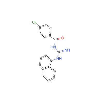 N=C(NC(=O)c1ccc(Cl)cc1)Nc1cccc2ccccc12